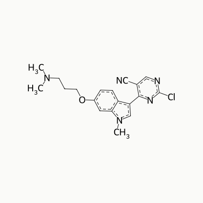 CN(C)CCCOc1ccc2c(-c3nc(Cl)ncc3C#N)cn(C)c2c1